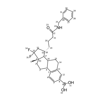 C[C@]12CCC3c4ccc(B(O)O)cc4CCC3C1[C@@H](CCCC(=O)NCc1ccccc1)CC2(F)F